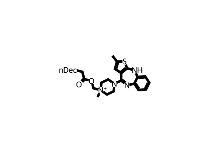 CCCCCCCCCCCC(=O)OC[N+]1(C)CCN(C2=Nc3ccccc3Nc3sc(C)cc32)CC1